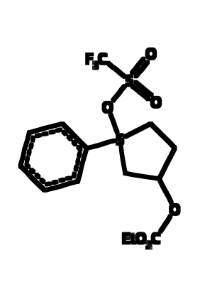 CCOC(=O)OC1CCS(OS(=O)(=O)C(F)(F)F)(c2ccccc2)C1